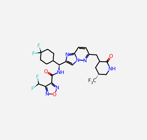 O=C(N[C@H](c1cn2nc(CC3C[C@@H](C(F)(F)F)CNC3=O)ccc2n1)C1CCC(F)(F)CC1)c1nonc1C(F)F